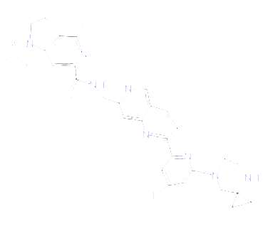 Cc1nc(C(=O)NCc2cc3nc(-c4cc(F)cc(N5CCNC6(CC6)C5)n4)ccc3cn2)cc2c1CCN2S(C)(=O)=O